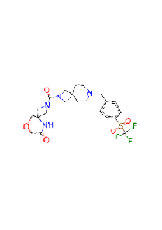 O=C1COCC2(CN(C(=O)N3CC4(CCN(Cc5ccc(S(=O)(=O)C(F)(F)F)cc5)CC4)C3)C2)N1